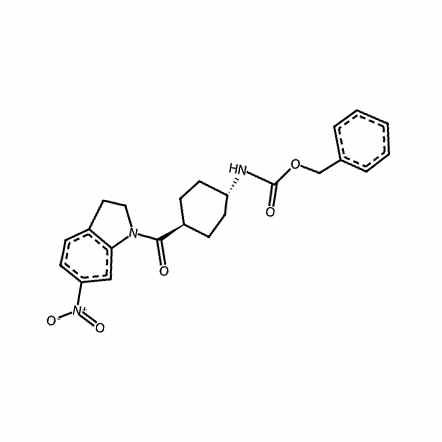 O=C(N[C@H]1CC[C@H](C(=O)N2CCc3ccc([N+](=O)[O-])cc32)CC1)OCc1ccccc1